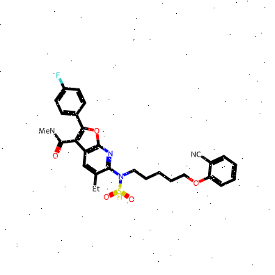 CCc1cc2c(C(=O)NC)c(-c3ccc(F)cc3)oc2nc1N(CCCCCOc1ccccc1C#N)[SH](=O)=O